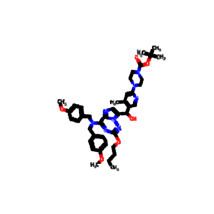 CCCCOc1nc(N(Cc2ccc(OC)cc2)Cc2ccc(OC)cc2)c2ncc(C(O)c3cnc(N4CCN(C(=O)OC(C)(C)C)CC4)cc3C)n2n1